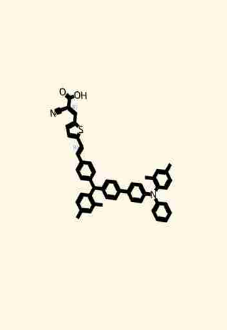 Cc1ccc(C(c2ccc(/C=C/c3ccc(/C=C(\C#N)C(=O)O)s3)cc2)c2ccc(-c3ccc(N(c4ccccc4)c4ccc(C)cc4C)cc3)cc2)c(C)c1